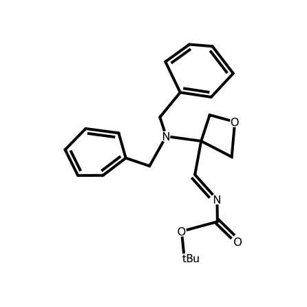 CC(C)(C)OC(=O)N=CC1(N(Cc2ccccc2)Cc2ccccc2)COC1